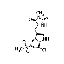 CN1C(=O)C(Cc2c[nH]c3c(Cl)cc(S(C)(=O)=O)cc23)NC1=S